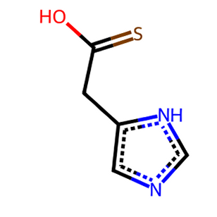 OC(=S)Cc1cnc[nH]1